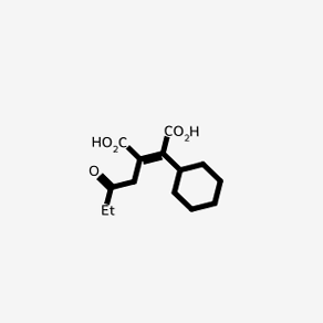 CCC(=O)CC(C(=O)O)=C(C(=O)O)C1CCCCC1